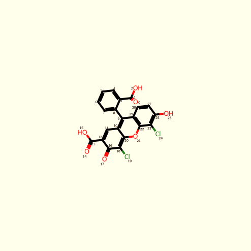 O=C(O)c1ccccc1-c1c2cc(C(=O)O)c(=O)c(Cl)c-2oc2c(Cl)c(O)ccc12